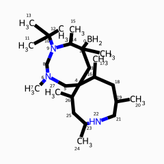 BC1(C)CC2(CN(C)CN(C(C)(C)C)C1C)C(C)CC(C)CNC(C)CC2C